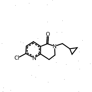 O=C1c2ccc(Cl)nc2CCN1CC1CC1